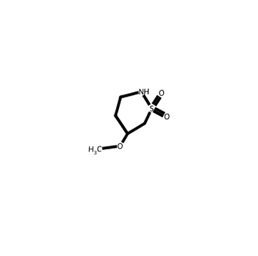 COC1CCNS(=O)(=O)C1